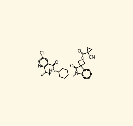 N#CC1(C(=O)N2CC3(C2)C(=O)N(C[C@H]2CC[C@H](NC(=O)c4cc(Cl)cnc4C(F)F)CC2)c2ccccc23)CC1